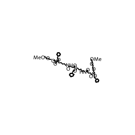 COCCOCCOCCN(OCc1ccccc1)C(=O)CCC(=O)NCCCCCN(OCc1ccccc1)C(=O)CCC(=O)NCCCCCN(OCc1ccccc1)C(=O)COCCOCCOC